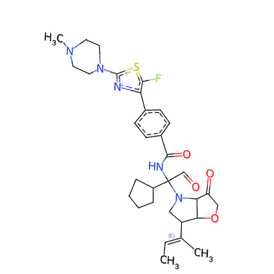 C/C=C(\C)C1CN(C(C=O)(NC(=O)c2ccc(-c3nc(N4CCN(C)CC4)sc3F)cc2)C2CCCC2)C2C(=O)COC12